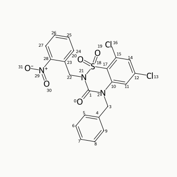 O=C1N(Cc2ccccc2)c2cc(Cl)cc(Cl)c2S(=O)(=O)N1Cc1ccccc1[N+](=O)[O-]